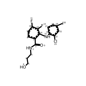 O=C(NCCCO)c1ccc(F)c(F)c1Nc1ccc(I)cc1Cl